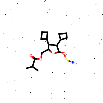 CC(C)C(=O)OCC1OC(OSN)C(C2CCC2)C1C1CCC1